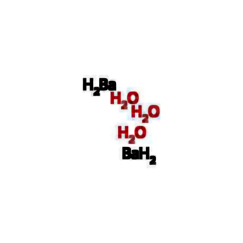 O.O.O.[BaH2].[BaH2]